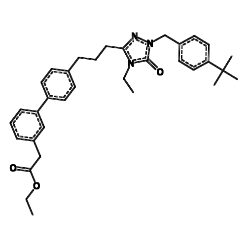 CCOC(=O)Cc1cccc(-c2ccc(CCCc3nn(Cc4ccc(C(C)(C)C)cc4)c(=O)n3CC)cc2)c1